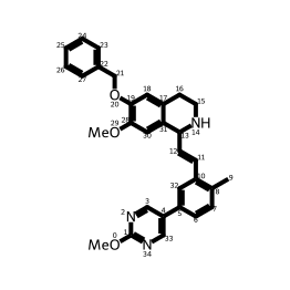 COc1ncc(-c2ccc(C)c(/C=C/C3NCCc4cc(OCc5ccccc5)c(OC)cc43)c2)cn1